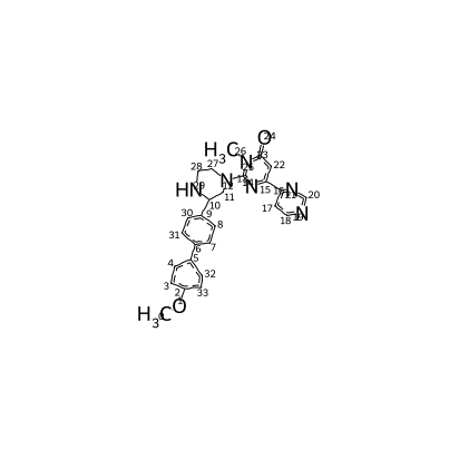 COc1ccc(-c2ccc(C3CN(c4nc(-c5ccncn5)cc(=O)n4C)CCN3)cc2)cc1